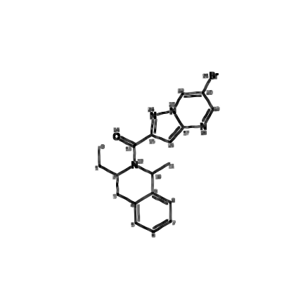 CCC1Cc2ccccc2C(C)N1C(=O)c1cc2ncc(Br)cn2n1